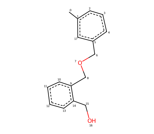 Cc1cccc(COCc2ccccc2CO)c1